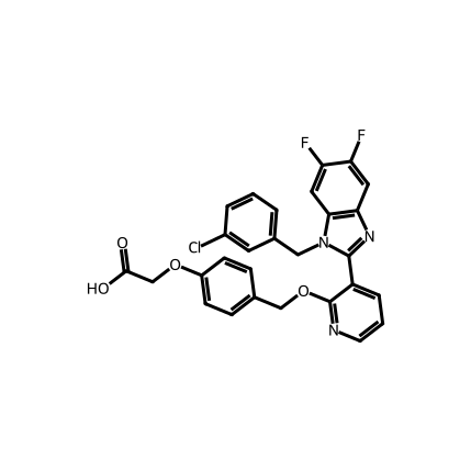 O=C(O)COc1ccc(COc2ncccc2-c2nc3cc(F)c(F)cc3n2Cc2cccc(Cl)c2)cc1